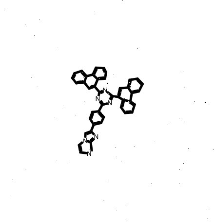 c1ccc2c(c1)cc(-c1nc(-c3ccc(-c4cn5ccncc5n4)cc3)nc(-c3cc4ccccc4c4ccccc34)n1)c1ccccc12